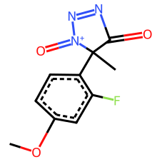 COc1ccc(C2(C)C(=O)N=N[N+]2=O)c(F)c1